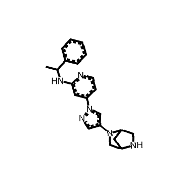 CC(Nc1cc(-n2cc(N3CC4CC3CN4)cn2)ccn1)c1ccccc1